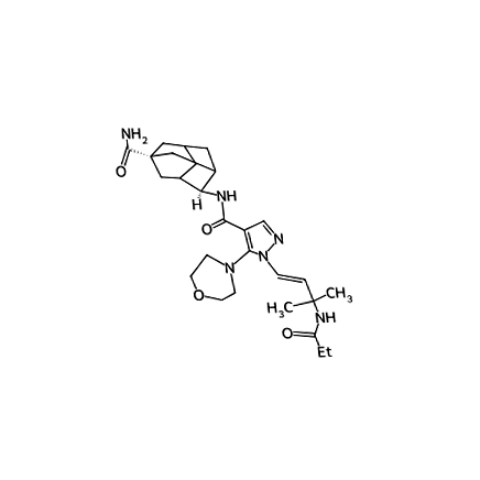 CCC(=O)NC(C)(C)/C=C/n1ncc(C(=O)N[C@H]2C3CC4CC2C[C@](C(N)=O)(C4)C3)c1N1CCOCC1